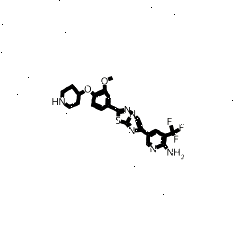 COc1cc(-c2nn3cc(-c4cnc(N)c(C(F)(F)F)c4)nc3s2)ccc1OC1CCNCC1